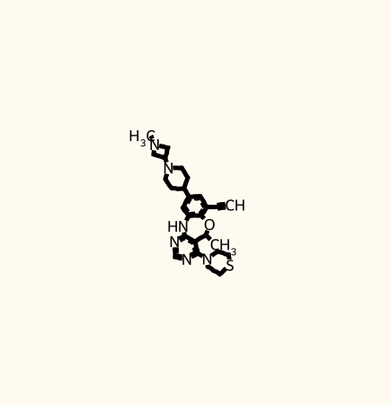 C#Cc1cc(C2CCN(C3CN(C)C3)CC2)cc2c1OC(C)c1c(ncnc1N1CCSCC1)N2